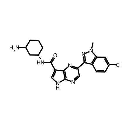 Cn1nc(-c2cnc3[nH]cc(C(=O)N[C@H]4CCCC(N)C4)c3n2)c2ccc(Cl)cc21